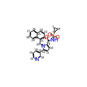 O=C(NS(=O)(=O)C1CC1)c1ccc(-c2cccnc2)n1Cc1cccc2ccccc12